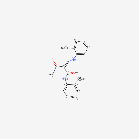 CCCC(=O)C(=CNc1ccccc1OC)C(=O)Nc1ccccc1OC